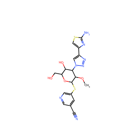 COC1C(Sc2cncc(C#N)c2)OC(CO)C(O)C1n1cc(-c2csc(N)n2)nn1